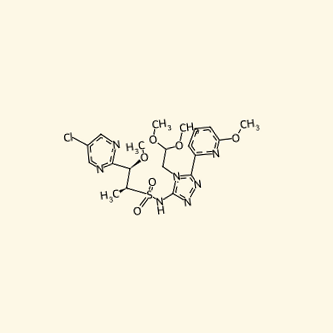 COc1cccc(-c2nnc(NS(=O)(=O)[C@@H](C)[C@H](OC)c3ncc(Cl)cn3)n2CC(OC)OC)n1